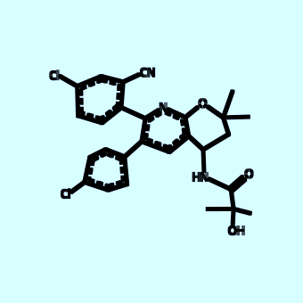 CC1(C)CC(NC(=O)C(C)(C)O)c2cc(-c3ccc(Cl)cc3)c(-c3ccc(Cl)cc3C#N)nc2O1